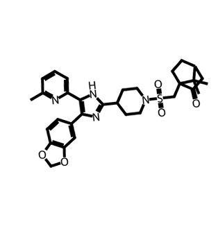 Cc1cccc(-c2[nH]c(C3CCN(S(=O)(=O)CC45CCC(CC4=O)C5(C)C)CC3)nc2-c2ccc3c(c2)OCO3)n1